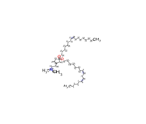 CCCCC/C=C\C/C=C\CCCCCCCOC1(OCCCCCCC/C=C\CCCCCCCC)CCC(CCN(C)C)C1